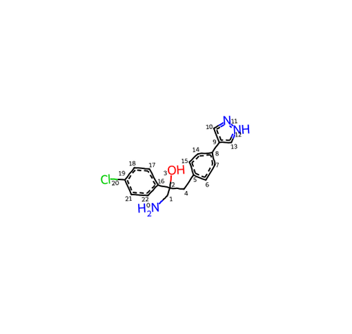 NCC(O)(Cc1ccc(-c2cn[nH]c2)cc1)c1ccc(Cl)cc1